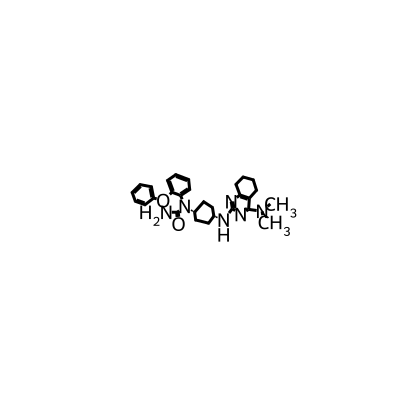 CN(C)c1nc(N[C@H]2CC[C@@H](N(C(N)=O)c3ccccc3Oc3ccccc3)CC2)nc2c1CCCC2